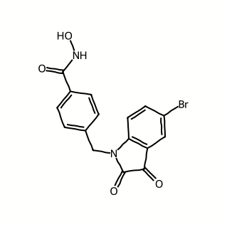 O=C(NO)c1ccc(CN2C(=O)C(=O)c3cc(Br)ccc32)cc1